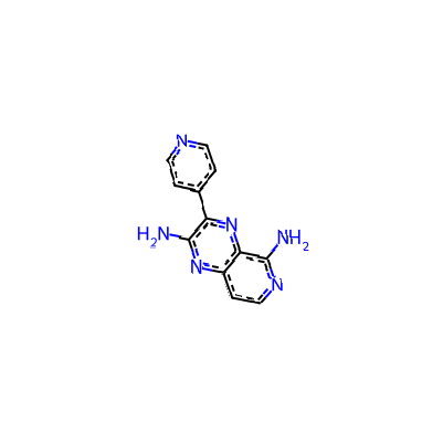 Nc1nc2ccnc(N)c2nc1-c1ccncc1